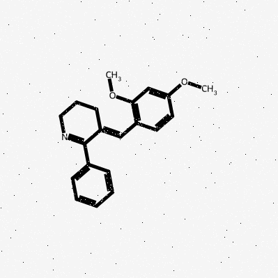 COc1ccc(C=C2CCCN=C2c2ccccc2)c(OC)c1